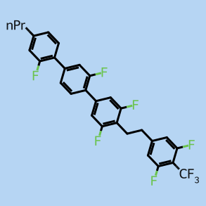 CCCc1ccc(-c2ccc(-c3cc(F)c(CCc4cc(F)c(C(F)(F)F)c(F)c4)c(F)c3)c(F)c2)c(F)c1